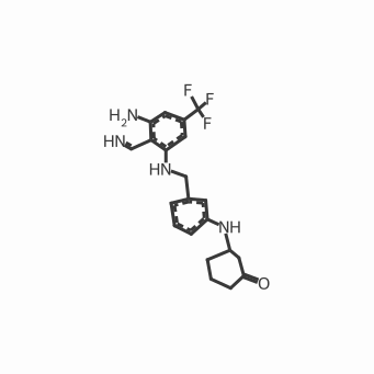 N=Cc1c(N)cc(C(F)(F)F)cc1NCc1cccc(NC2CCCC(=O)C2)c1